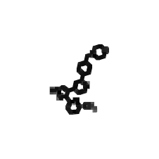 Cc1cccc(-c2n[nH]cc2-c2ccnc(-c3ccc(CN4CCOCC4)cc3)c2)n1